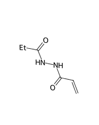 C=CC(=O)NNC(=O)CC